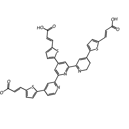 O=C(O)/C=C/c1ccc(C2=CC(c3cc(-c4ccc(/C=C/C(=O)O)s4)cc(-c4cc(-c5ccc(/C=C/C(=O)O)s5)ccn4)n3)=NCC2)s1